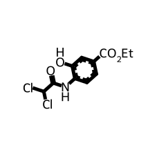 CCOC(=O)c1ccc(NC(=O)C(Cl)Cl)c(O)c1